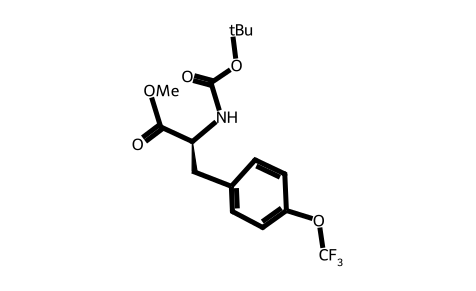 COC(=O)[C@H](Cc1ccc(OC(F)(F)F)cc1)NC(=O)OC(C)(C)C